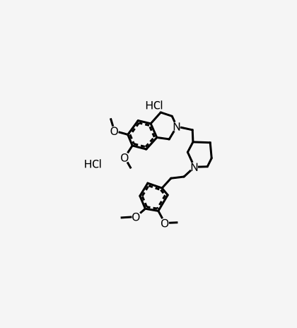 COc1ccc(CCN2CCCC(CN3CCc4cc(OC)c(OC)cc4C3)C2)cc1OC.Cl.Cl